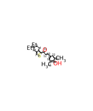 CCC1(CC)CCc2c(csc2C(=O)C=Cc2cc(C)c(O)c(C)c2)C1